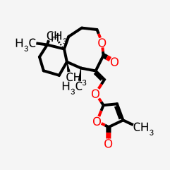 CC1=CC(O/C=C2/C(=O)OCCC[C@@H]3C(C)(C)CCC[C@@]3(C)[C@@H]2C)OC1=O